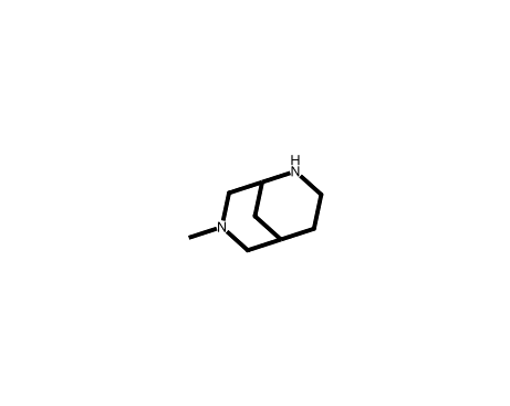 CN1CC2CCNC(C2)C1